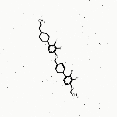 CCCC1CCC(c2ccc(OCC3=CCC(c4ccc(OCC)c(F)c4F)C=C3)c(F)c2F)CC1